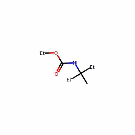 CCOC(=O)NC(C)(CC)CC